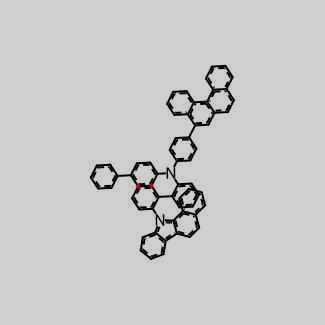 c1ccc(-c2ccc(N(c3ccc(-c4cc5ccc6ccccc6c5c5ccccc45)cc3)c3ccccc3-c3ccccc3-n3c4ccccc4c4ccc5ccccc5c43)cc2)cc1